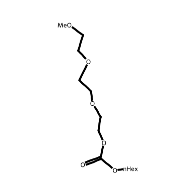 CCCCCCOC(=O)OCCOCCOCCOC